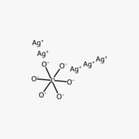 [Ag+].[Ag+].[Ag+].[Ag+].[Ag+].[O-][I+]([O-])([O-])([O-])([O-])[O-]